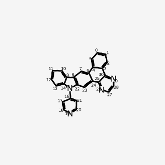 c1ccc2c(c1)c1cc3c4ccccc4n(-c4ccncc4)c3cc1c1nccnc21